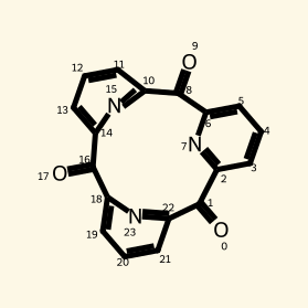 O=C1c2cccc(n2)C(=O)c2cccc(n2)C(=O)c2cccc1n2